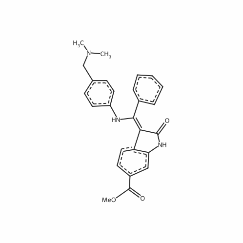 COC(=O)c1ccc2c(c1)NC(=O)C2=C(Nc1ccc(CN(C)C)cc1)c1ccccc1